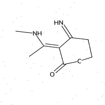 CN/C(C)=C1\C(=N)CCCC1=O